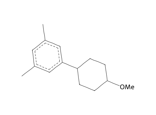 COC1CCC(c2cc(C)cc(C)c2)CC1